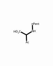 CCCCCNC(C(C)=O)C(=O)O